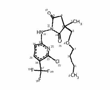 CCCCOCC1(C)CC(=O)N(Nc2ccc(C(F)(F)F)c(Cl)n2)C1=O